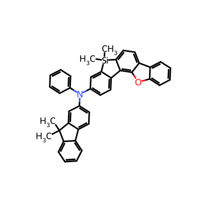 CC1(C)c2ccccc2-c2ccc(N(c3ccccc3)c3ccc4c(c3)[Si](C)(C)c3ccc5c(oc6ccccc65)c3-4)cc21